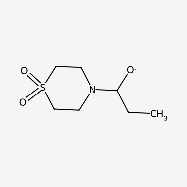 CCC([O])N1CCS(=O)(=O)CC1